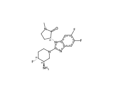 CN1CC[C@@H](n2c(N3CC[C@@H](F)[C@H](N)C3)nc3cc(F)c(F)cc32)C1=O